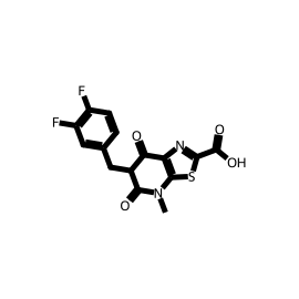 CN1C(=O)C(Cc2ccc(F)c(F)c2)C(=O)c2nc(C(=O)O)sc21